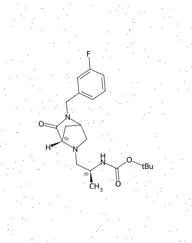 C[C@@H](CN1CC2C[C@H]1C(=O)N2Cc1cccc(F)c1)NC(=O)OC(C)(C)C